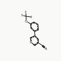 N#Cc1cncc(-c2cccc(OC(F)(F)F)c2)c1